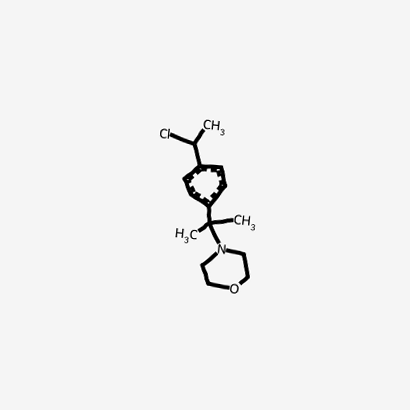 CC(Cl)c1ccc(C(C)(C)N2CCOCC2)cc1